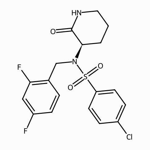 O=C1NCCC[C@H]1N(Cc1ccc(F)cc1F)S(=O)(=O)c1ccc(Cl)cc1